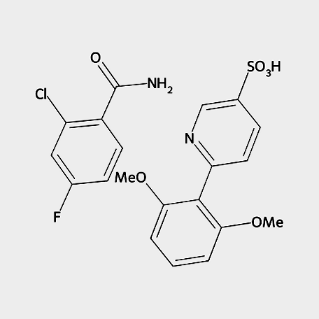 COc1cccc(OC)c1-c1ccc(S(=O)(=O)O)cn1.NC(=O)c1ccc(F)cc1Cl